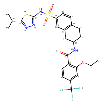 CCOc1cc(C(F)(F)F)ccc1C(=O)NC1CCc2ccc(S(=O)(=O)Nc3nnc(C(C)C)s3)cc2C1